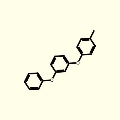 Cc1ccc(Oc2cccc(Oc3ccccc3)c2)cc1